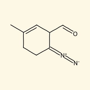 CC1=CC(C=O)C(=[N+]=[N-])CC1